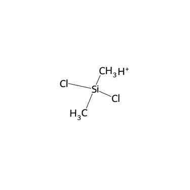 C[Si](C)(Cl)Cl.[H+]